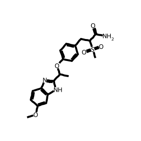 COc1ccc2nc(C(C)Oc3ccc(CC(C(N)=O)S(C)(=O)=O)cc3)[nH]c2c1